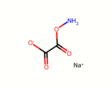 NOC(=O)C(=O)[O-].[Na+]